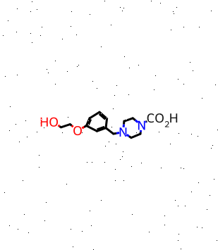 O=C(O)N1CCN(Cc2cccc(OCCO)c2)CC1